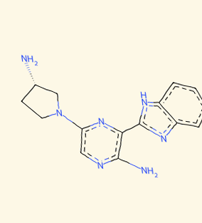 Nc1ncc(N2CC[C@H](N)C2)nc1-c1nc2ccccc2[nH]1